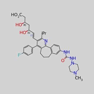 CC(C)c1nc2c(c(-c3ccc(F)cc3)c1/C=C/[C@@H](O)C[C@@H](O)CC(=O)O)CCCc1cc(NC(=O)NN3CCN(C)CC3)ccc1-2